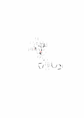 CCN1C[C@]2(OC(=O)c3ccccc3NC(=O)/C(C)=C/c3ccncc3)CC[C@H](OC)[C@]34C1[C@@H](C[C@H]23)[C@@]1(O)C[C@H](OC)[C@H]2C[C@@H]4[C@]1(O)C2OC